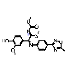 COC(=O)/N=C(\SC)C(=Nc1ccc(-c2noc(C)n2)cc1)c1ccc(O)c(OC)c1